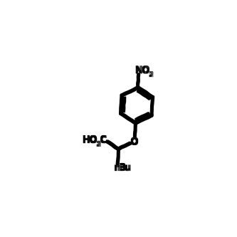 CCCCC(Oc1ccc([N+](=O)[O-])cc1)C(=O)O